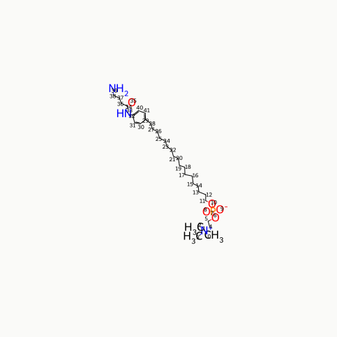 C[N+](C)(C)CCOP(=O)([O-])OCCCCCCCCCCCCCCCCCCc1ccc(NC(=O)CCCN)cc1